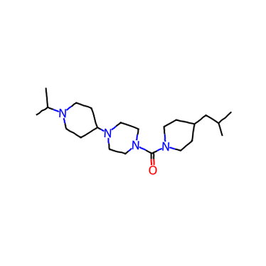 CC(C)CC1CCN(C(=O)N2CCN(C3CCN(C(C)C)CC3)CC2)CC1